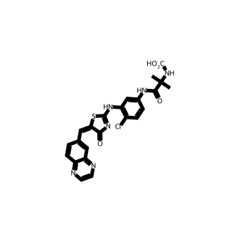 CC(C)(NC(=O)O)C(=O)Nc1ccc(Cl)c(NC2=NC(=O)C(=Cc3ccc4nccnc4c3)S2)c1